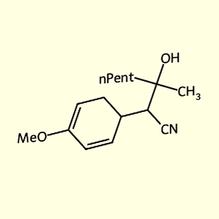 CCCCCC(C)(O)C(C#N)C1C=CC(OC)=CC1